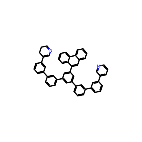 C1=NC=C(c2cccc(-c3cccc(-c4cc(-c5cccc(-c6cccc(-c7cccnc7)c6)c5)cc(-c5cc6ccccc6c6ccccc56)c4)c3)c2)CC1